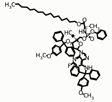 C#C[C@]1(COP(=O)(N[C@@H](C)C(=O)OCCCCCCCCCCCCCCCC)Oc2ccccc2)OC(n2cnc3c(NC(c4ccccc4)(c4ccccc4)c4ccc(OC)cc4)nc(F)nc32)C[C@@H]1OC(c1ccccc1)(c1ccccc1)c1ccc(OC)cc1